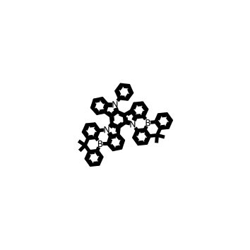 CC1(C)c2ccccc2B2c3c(cccc31)-n1c3c2cccc3c2c3c(c4ccccc4n3-c3ccccc3)c3c(c4cccc5c4n3-c3cccc4c3B5c3ccccc3C4(C)C)c21